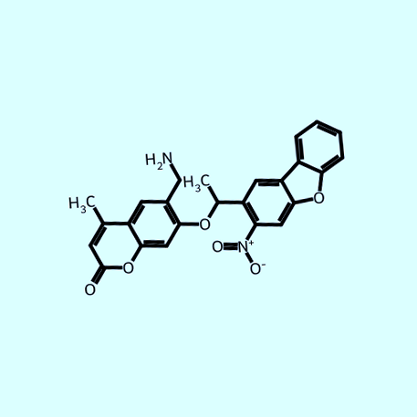 Cc1cc(=O)oc2cc(OC(C)c3cc4c(cc3[N+](=O)[O-])oc3ccccc34)c(CN)cc12